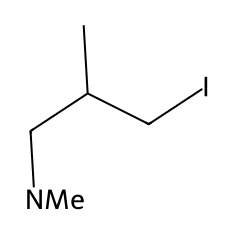 CNCC(C)CI